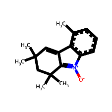 Cc1cccc2c1C1=CC(C)(C)CC(C)(C)C1=[N+]2[O-]